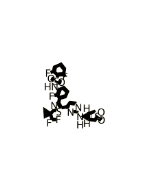 O=S1(=O)C[C@@H]2[C@H](C1)[C@H]2Nc1nccc(-c2sc(C3(C(F)F)CC3)nc2-c2cccc(NS(=O)(=O)c3c(F)cccc3F)c2F)n1